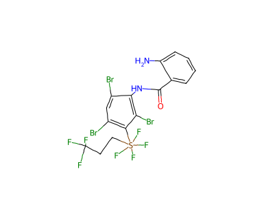 Nc1ccccc1C(=O)Nc1c(Br)cc(Br)c(S(F)(F)(F)(F)CCC(F)(F)F)c1Br